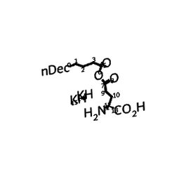 CCCCCCCCCCCCCC(=O)OC(=O)CC[C@H](N)C(=O)O.[KH].[KH]